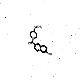 COC1CCN(C(=O)c2ccc3cc(O)ccc3c2)CC1